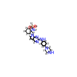 CN(C1(Cn2ccc3cnc(Nc4ccc(N5CCNCC5)cc4)nc32)CCCCC1)S(C)(=O)=O